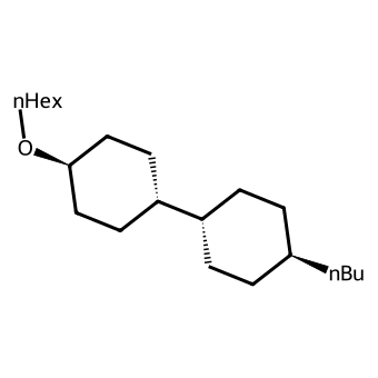 CCCCCCO[C@H]1CC[C@H]([C@H]2CC[C@H](CCCC)CC2)CC1